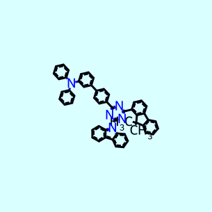 CC1(C)c2ccccc2-c2cccc(-c3nc(-c4ccc(-c5cccc(N(c6ccccc6)c6ccccc6)c5)cc4)nc(-n4c5ccccc5c5ccccc54)n3)c21